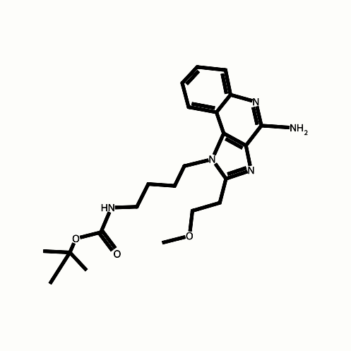 COCCc1nc2c(N)nc3ccccc3c2n1CCCCNC(=O)OC(C)(C)C